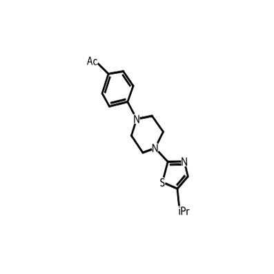 CC(=O)c1ccc(N2CCN(c3ncc(C(C)C)s3)CC2)cc1